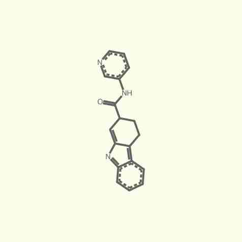 O=C(Nc1cccnc1)C1C=C2N=c3ccccc3=C2CC1